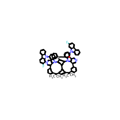 CC1(C)c2cccc(c2)-c2cncc(-c3ccccc3)c2N2c3cc(-n4c5ccccc5c5ccc(F)cc54)ccc3B3c4ccc(-n5c6ccccc6c6ccc(F)cc65)cc4N4c5cc(cc2c53)-c2cc1cc(c2)C(C)(C)c1cccc(c1)-c1cncc(-c2ccccc2)c14